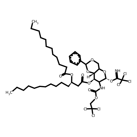 CCCCCCCCCCCC(=O)O[C@H](CCCCCCCCCCC)CC(=O)O[C@@H]1C(NC(=O)OCC(Cl)(Cl)Cl)[C@@H](OC(=N)C(Cl)(Cl)Cl)OC2COC(c3ccccc3)O[C@H]21